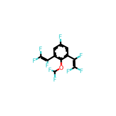 FC(F)=C(F)c1cc(F)cc(C(F)=C(F)F)c1OC(F)F